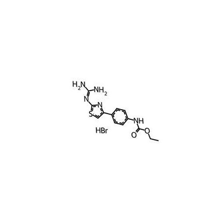 Br.CCOC(=O)Nc1ccc(-c2csc(N=C(N)N)n2)cc1